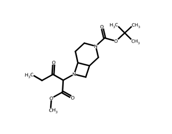 CCC(=O)C(C(=O)OC)N1CC2CN(C(=O)OC(C)(C)C)CCC21